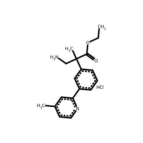 CCOC(=O)C(C)(CN)c1cccc(-c2cc(C)ccn2)c1.Cl